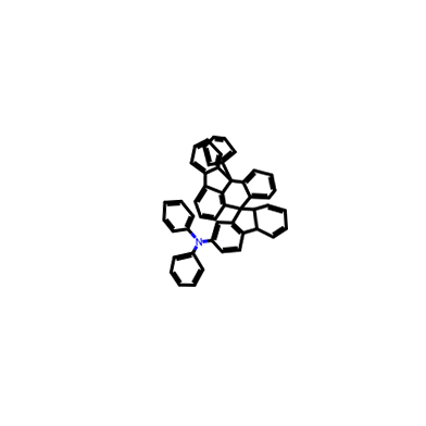 C1=CC2c3ccc(N(c4ccccc4)c4ccccc4)cc3C3(c4ccccc4C4(c5ccccc5)c5ccccc5-c5cccc3c54)C2C=C1